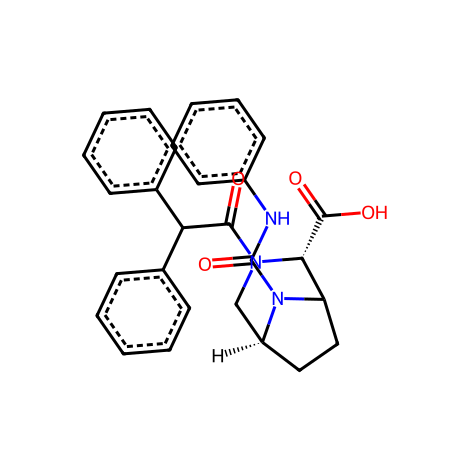 O=C(O)[C@@H]1C2CC[C@@H](CN1C(=O)C(c1ccccc1)c1ccccc1)N2C(=O)Nc1ccccc1